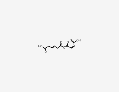 O=C(O)/C=C\C(=O)OC(=O)CC=CCC(=O)O